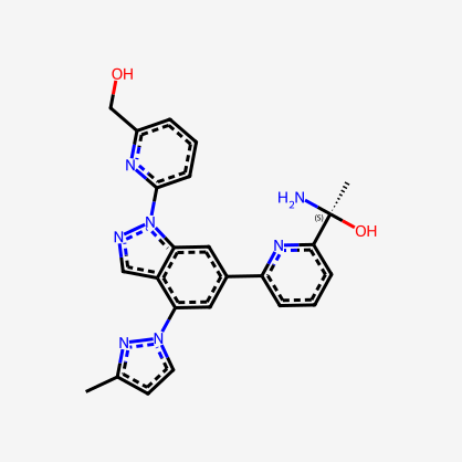 Cc1ccn(-c2cc(-c3cccc([C@@](C)(N)O)n3)cc3c2cnn3-c2cccc(CO)n2)n1